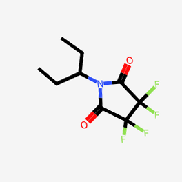 CCC(CC)N1C(=O)C(F)(F)C(F)(F)C1=O